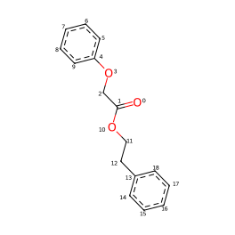 O=C(COc1ccccc1)OCCc1ccccc1